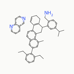 CCc1cccc(CC)c1-c1cc(C)c2c3c(ccc2c1)C1=C(CCC=C1)C(c1cc(C(C)C)ccc1CN)C3.c1cnc2ccncc2c1